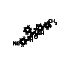 Cn1cc(-c2cnc3c(c2)NC(=O)[C@H]([C@H](NCCc2ccc(C#N)cc2)c2ccccc2)S3)cn1